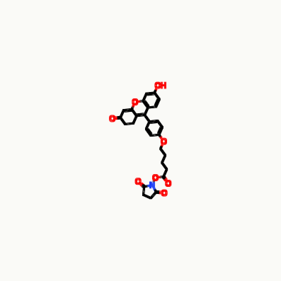 O=C1C=C2Oc3cc(O)ccc3C(c3ccc(OCCCCC(=O)ON4C(=O)CCC4=O)cc3)=C2CC1